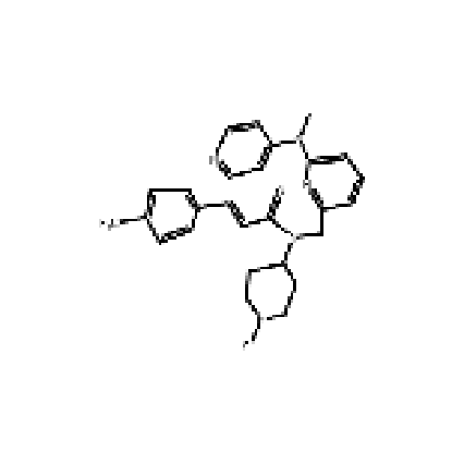 CC(C)N1CCC(N(Cc2cccc(N(C)c3ccncc3)n2)C(=O)/C=C/c2ccc(C(F)(F)F)cc2)CC1